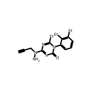 C#CCN(N)c1nc(CC)n(-c2cccc(CC)c2CC)c(=O)n1